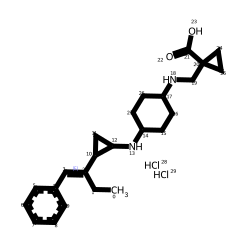 CC/C(=C\c1ccccc1)C1CC1NC1CCC(NCC2(C(=O)O)CC2)CC1.Cl.Cl